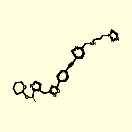 C[C@H](OC1CCCCO1)c1nccn1Cc1cc(-c2ccc(C#Cc3ccc(CNCCCn4ccnn4)nc3)cc2)on1